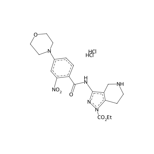 CCOC(=O)n1nc(NC(=O)c2ccc(N3CCOCC3)cc2[N+](=O)[O-])c2c1CCNC2.Cl.Cl